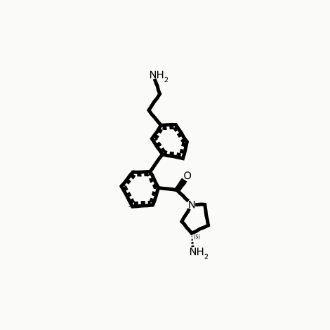 NCCc1cccc(-c2cc[c]cc2C(=O)N2CC[C@H](N)C2)c1